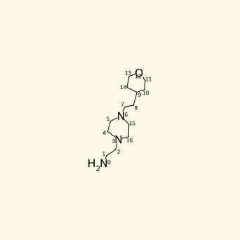 NCCN1CCN(CCC2CCOCC2)CC1